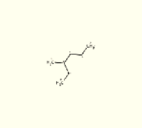 [CH2]CCC(C)CC